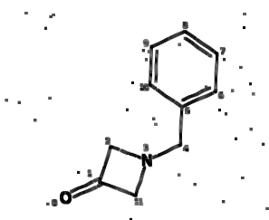 O=C1CN(Cc2ccccc2)C1